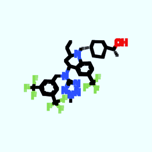 CCC1CC(N(Cc2cc(C(F)(F)F)cc(C(F)(F)F)c2)c2nnn(C)n2)c2cc(C(F)(F)F)ccc2N1C[C@H]1CC[C@H]([C@@H](C)O)CC1